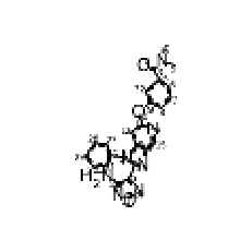 CN(C)C(=O)c1cccc(Oc2cc3c(cn2)nc(-c2nonc2N)n3-c2ccccc2)c1